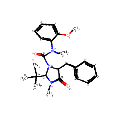 COc1ccccc1N(C)C(=O)N1C(Cc2ccccc2)C(=O)N(C)C1C(C)(C)C